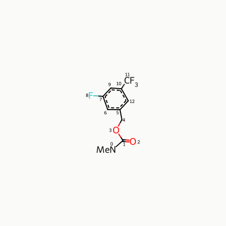 CNC(=O)OCc1cc(F)cc(C(F)(F)F)c1